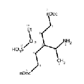 CCCCCCCCCCCCC(CCCCCCCCCCCC)C(C)N.CCOS(=O)(=O)O